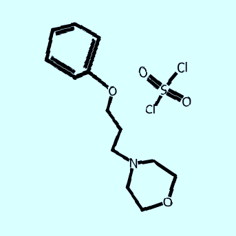 O=S(=O)(Cl)Cl.c1ccc(OCCCN2CCOCC2)cc1